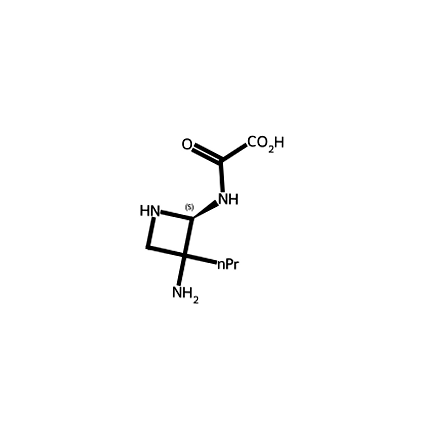 CCCC1(N)CN[C@H]1NC(=O)C(=O)O